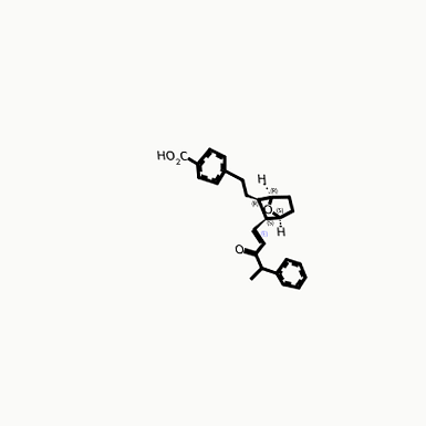 CC(C(=O)/C=C/[C@H]1[C@@H](CCc2ccc(C(=O)O)cc2)[C@H]2CC[C@@H]1O2)c1ccccc1